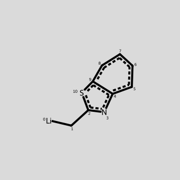 [Li][CH2]c1nc2ccccc2s1